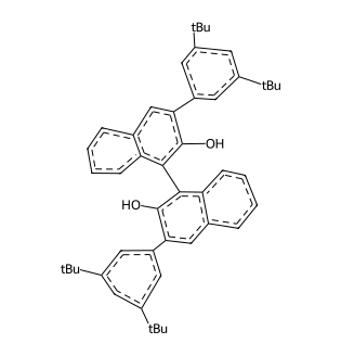 CC(C)(C)c1cc(-c2cc3ccccc3c(-c3c(O)c(-c4cc(C(C)(C)C)cc(C(C)(C)C)c4)cc4ccccc34)c2O)cc(C(C)(C)C)c1